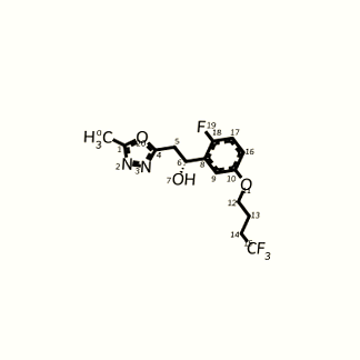 Cc1nnc(C[C@@H](O)c2cc(OCCCC(F)(F)F)ccc2F)o1